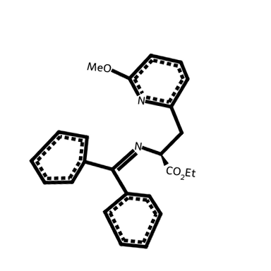 CCOC(=O)[C@H](Cc1cccc(OC)n1)N=C(c1ccccc1)c1ccccc1